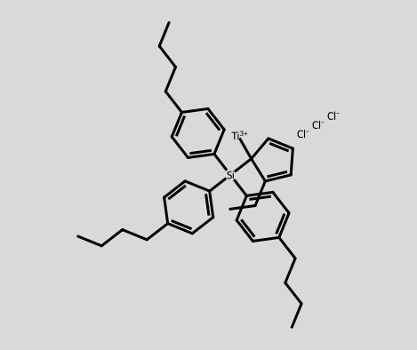 CCCCc1ccc([Si](c2ccc(CCCC)cc2)(c2ccc(CCCC)cc2)[C]2([Ti+3])C=CC=C2CC)cc1.[Cl-].[Cl-].[Cl-]